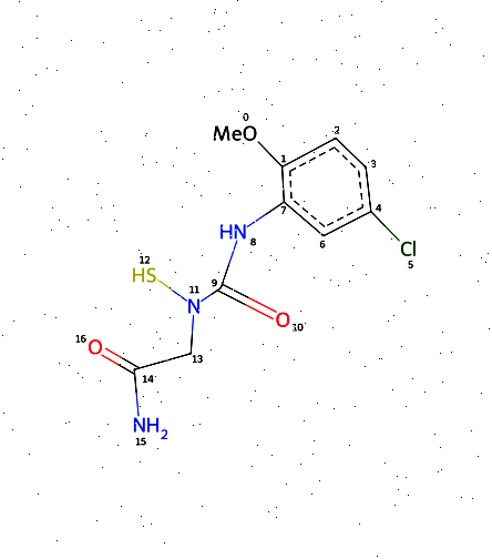 COc1ccc(Cl)cc1NC(=O)N(S)CC(N)=O